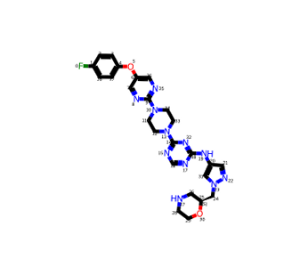 Fc1ccc(Oc2cnc(N3CCN(c4ncnc(Nc5cnn(C[C@@H]6CNCCO6)c5)n4)CC3)nc2)cc1